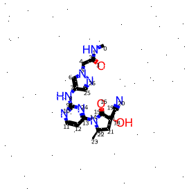 CNC(=O)Cn1cc(Nc2nccc(N3C(=O)[C@@](O)(C#N)C[C@H]3C)n2)cn1